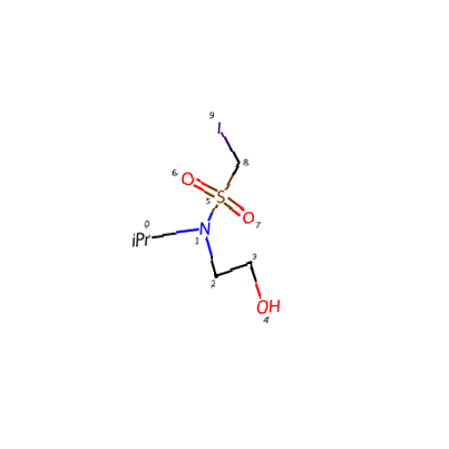 CC(C)N(CCO)S(=O)(=O)CI